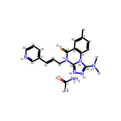 CCC(N)=O.Cc1ccc2c(c1)c(=S)n(CC=Cc1cccnc1)c1nnc(N(C)C)n21